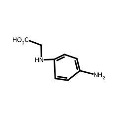 Nc1ccc(NCC(=O)O)cc1